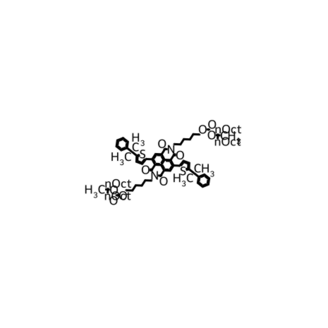 CCCCCCCCC(C)(CCCCCCCC)OC(=O)OCCCCCCN1C(=O)c2cc(-c3ccc(C(C)(C)c4ccccc4)s3)c3c4c(cc(-c5ccc(C(C)(C)c6ccccc6)s5)c(c24)C1=O)C(=O)N(CCCCCCOC(=O)OC(C)(CCCCCCCC)CCCCCCCC)C3=O